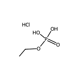 CCOP(=O)(O)O.Cl